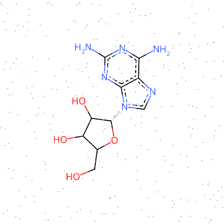 Nc1nc(N)c2ncn([C@@H]3OC(CO)C(O)C3O)c2n1